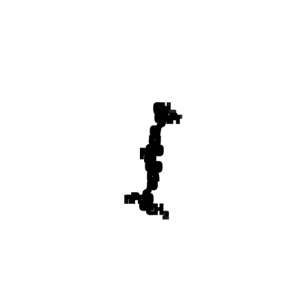 C=CC(=O)OC(CCC)CCCOc1ccc(C(=O)Oc2ccc(OC(=O)c3ccc(OCCCC(CCC)OC(=O)C=C)cc3)c(F)c2)cc1